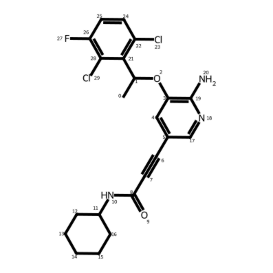 CC(Oc1cc(C#CC(=O)NC2CCCCC2)cnc1N)c1c(Cl)ccc(F)c1Cl